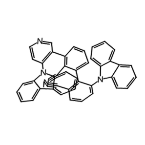 N#Cc1cccc(-n2c3ccccc3c3ccccc32)c1-c1cccc(-c2cnccc2-n2c3ccccc3c3ccccc32)c1C#N